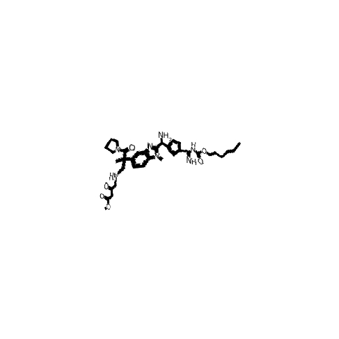 CCCCCCOC(=O)NC(=N)c1ccc(C(N)c2nc3cc(C(C)(CNCC(=O)CC(=O)OC)C(=O)N4CCCC4)ccc3n2C)cc1